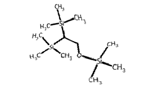 C[Si](C)(C)OCC([Si](C)(C)C)[Si](C)(C)C